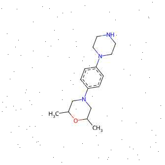 CC1CN(c2ccc(N3CCNCC3)cc2)CC(C)O1